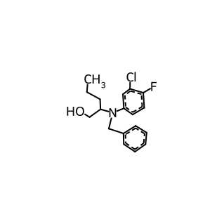 CCCC(CO)N(Cc1ccccc1)c1ccc(F)c(Cl)c1